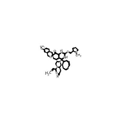 C=CC(=O)N1CCN(C2(C3CCCCCCC3)NC(OCC3CCCN3C)NC3C(=O)[C@@]4(CCC32)Cc2ccc(OC)cc2CO4)CC1CC#N